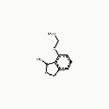 CNCOc1cccc2c1B(O)OC2